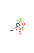 O=C1c2c(C(F)(F)F)ccc(OCCCF)c2C(O)C1(F)F